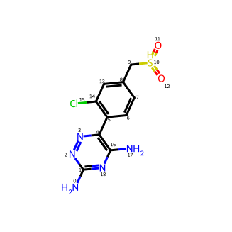 Nc1nnc(-c2ccc(C[SH](=O)=O)cc2Cl)c(N)n1